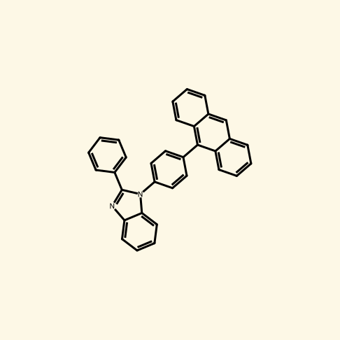 c1ccc(-c2nc3ccccc3n2-c2ccc(-c3c4ccccc4cc4ccccc34)cc2)cc1